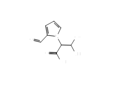 CC(C)C(C(=O)O)n1cccc1C=O